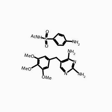 CC(=O)NS(=O)(=O)c1ccc(N)cc1.COc1cc(Cc2cnc(N)nc2N)cc(OC)c1OC